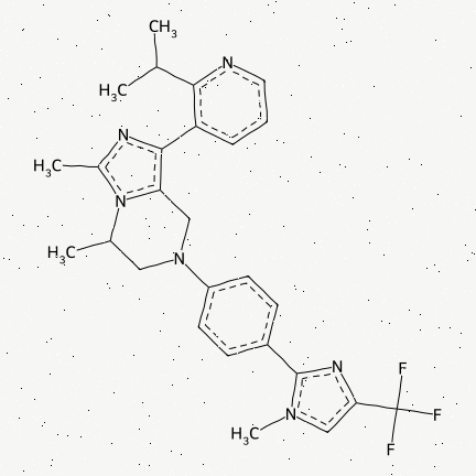 Cc1nc(-c2cccnc2C(C)C)c2n1C(C)CN(c1ccc(-c3nc(C(F)(F)F)cn3C)cc1)C2